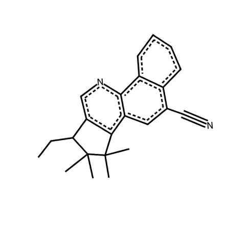 CCC1c2cnc3c(cc(C#N)c4ccccc43)c2C(C)(C)C1(C)C